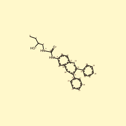 CCC(O)CNC(=O)Nc1ccc2nc(-c3ccccc3)c(-c3ccccc3)cc2c1